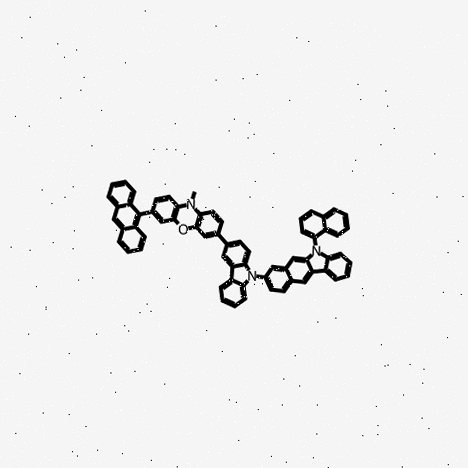 CN1c2ccc(-c3ccc4c(c3)c3ccccc3n4-c3ccc4cc5c6ccccc6n(-c6cccc7ccccc67)c5cc4c3)cc2Oc2cc(-c3c4ccccc4cc4ccccc34)ccc21